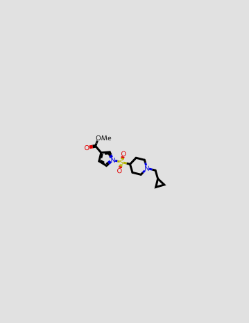 COC(=O)c1ccn(S(=O)(=O)C2CCN(CC3CC3)CC2)c1